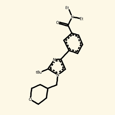 CCN(CC)C(=O)c1cccc(-c2cn(CC3CCOCC3)c(C(C)(C)C)n2)c1